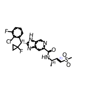 C[C@H](/C=C/S(C)(=O)=O)NC(=O)c1cc2nc([C@@H](c3cccc(F)c3Cl)C3(F)CC3)[nH]c2cn1